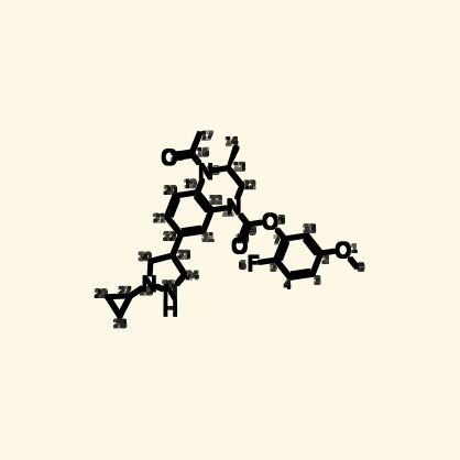 COc1ccc(F)c(OC(=O)N2C[C@H](C)N(C(C)=O)c3ccc(C4CNN(C5CC5)C4)cc32)c1